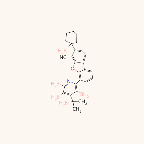 Bc1nc(-c2cccc3c2oc2c(C#N)c(C4(B)CCCCC4)ccc23)c(B)c(C(B)(C)C)c1B